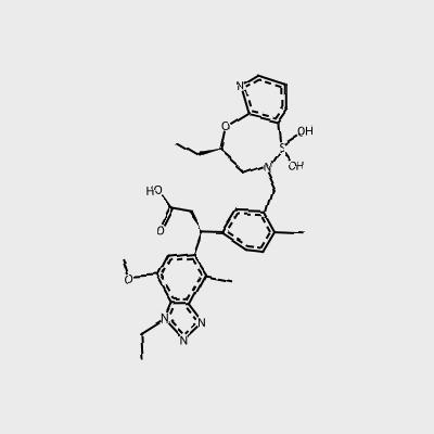 CC[C@@H]1CN(Cc2cc([C@H](CC(=O)O)c3cc(OC)c4c(nnn4CC)c3C)ccc2C)S(O)(O)c2cccnc2O1